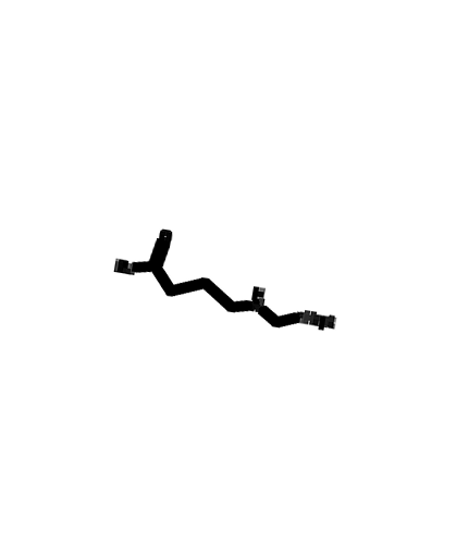 CCCCCCC[CH2][AlH][CH2]CCC(=O)C(C)CC